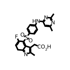 CC1=C(CC(=O)O)C2=C(S(=O)(=O)c3ccc(Nc4cc(C)nc(C)n4)cc3)C(F)=CCC2=N1